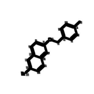 Cc1ccc(COc2ccc3cc(Br)ccc3c2)cc1